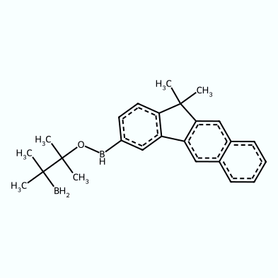 BC(C)(C)C(C)(C)OBc1ccc2c(c1)-c1cc3ccccc3cc1C2(C)C